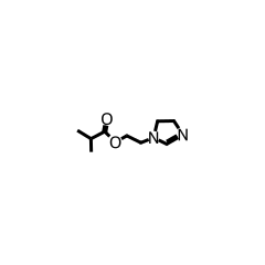 CC(C)C(=O)OCCN1C=NCC1